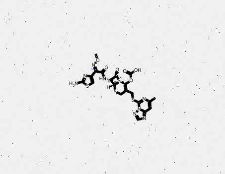 CO/N=C(\C(=O)N[C@@H]1C(=O)N2C(OC(=O)O)=C(CSc3nc(C)cc4ncnn34)CS[C@H]12)c1csc(N)n1